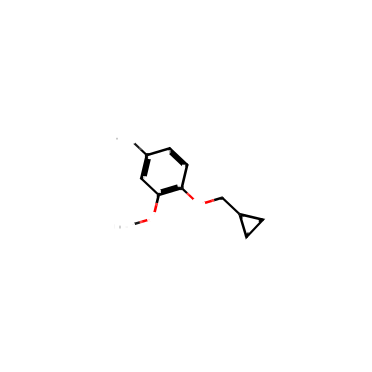 CCCCOc1cc(C=O)ccc1OCC1CC1